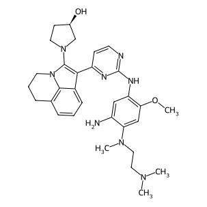 COc1cc(N(C)CCN(C)C)c(N)cc1Nc1nccc(-c2c(N3CC[C@@H](O)C3)n3c4c(cccc24)CCC3)n1